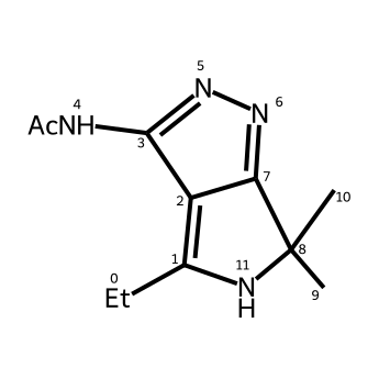 CCC1=C2C(NC(C)=O)=NN=C2C(C)(C)N1